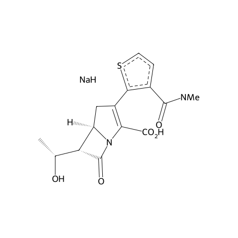 CNC(=O)c1ccsc1C1=C(C(=O)O)N2C(=O)[C@H]([C@@H](C)O)[C@H]2C1.[NaH]